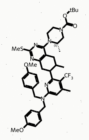 COc1ccc(CN(Cc2ccc(OC)cc2)c2cc(C)c(C(F)(F)F)c(C3Cc4nc(SC)nc(N5CCN(C(=O)OC(C)(C)C)C[C@@H]5C)c4CC3C)n2)cc1